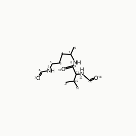 CC(CCCNC=O)NC(=O)C(NC=O)C(C)C